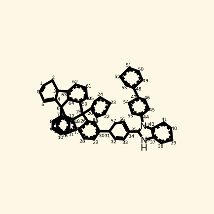 C1=CCC2C(=C1)C1(c3ccccc3)c3ccccc3C(c3ccccc3)(c3cccc(C4C=CC(C5Nc6ccccc6N5c5ccc(-c6ccccc6)cc5)=CC4)c3)c3cccc2c31